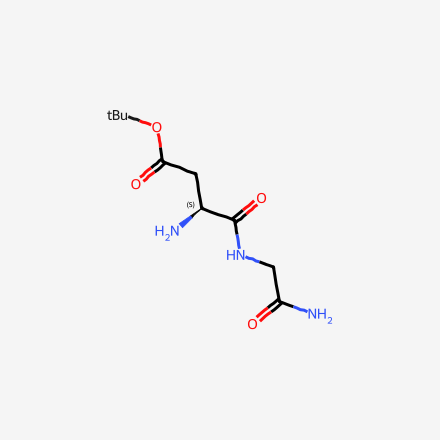 CC(C)(C)OC(=O)C[C@H](N)C(=O)NCC(N)=O